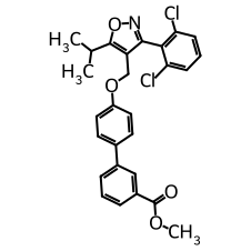 COC(=O)c1cccc(-c2ccc(OCc3c(-c4c(Cl)cccc4Cl)noc3C(C)C)cc2)c1